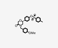 COc1ccc(CN2C[C@H](c3ccc(OS(=O)(=O)c4ccc(C)cc4)cc3)OCC2=O)cc1